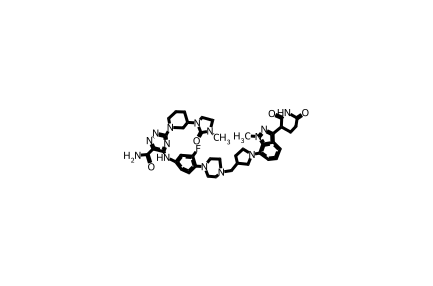 CN1CCN(C2CCCN(c3nnc(C(N)=O)c(Nc4ccc(N5CCN(CC6CCN(c7cccc8c(C9CCC(=O)NC9=O)nn(C)c78)C6)CC5)c(F)c4)n3)C2)C1=O